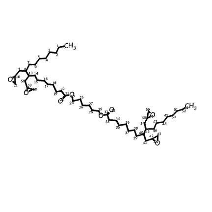 CCCCCCCCC(CC1CO1)C(CCCCCCCC(=O)OCCCCCCOC(=O)CCCCCCCC(CC1CO1)C(CCCCCCCC)CC1CO1)CC1CO1